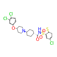 O=C(NS(=O)(=O)C1=CC(Cl)=CCC1=S)[C@H]1CC[C@H](N2CCC(Oc3ccc(Cl)c(Cl)c3)CC2)CC1